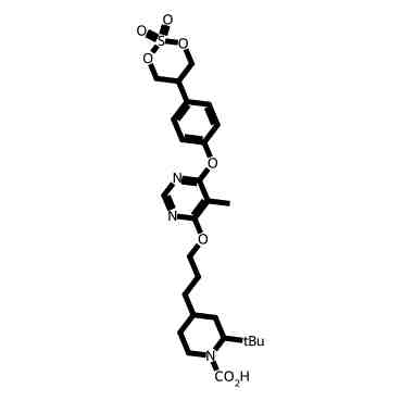 Cc1c(OCCCC2CCN(C(=O)O)C(C(C)(C)C)C2)ncnc1Oc1ccc(C2COS(=O)(=O)OC2)cc1